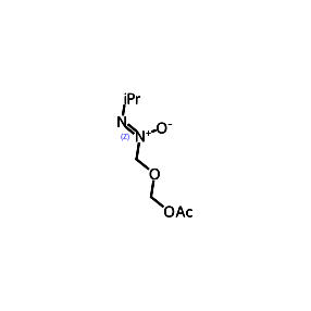 CC(=O)OCOC/[N+]([O-])=N/C(C)C